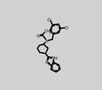 CC(=O)N(Cc1cc(Cl)cc(Cl)c1)C1CCCC(c2nc3ccccc3[nH]2)C1